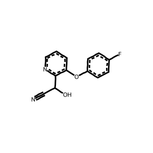 N#CC(O)c1ncccc1Oc1ccc(F)cc1